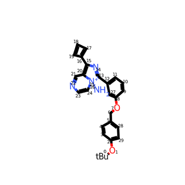 CC(C)(C)Oc1ccc(COc2cccc(C3=NC(C4=CC=C4)=C4C=NC=C[N+]34N)c2)cc1